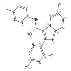 Cc1ccc(NC(O)c2c(-c3ccc(Cl)cc3Cl)nc3ccc(C)cn23)nc1